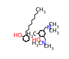 CCCCCCCCCc1ccccc1O.Cc1cc(CN(C)C)cc(CN(C)C)c1O